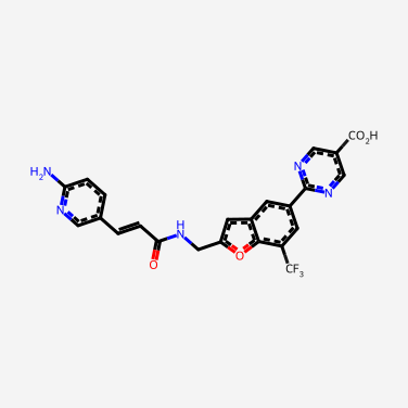 Nc1ccc(C=CC(=O)NCc2cc3cc(-c4ncc(C(=O)O)cn4)cc(C(F)(F)F)c3o2)cn1